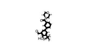 O=Cc1cc(-c2cccc(C(=O)N3CCOCC3)c2)cc(C(F)(F)F)c1O